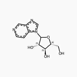 OC[C@H]1OC(n2cnc3cnccc32)[C@@H](O)[C@@H]1O